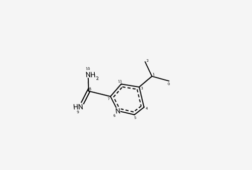 CC(C)c1ccnc(C(=N)N)c1